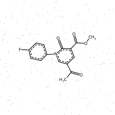 COC(=O)c1cc(C(C)=O)cn(-c2ccc(F)cc2)c1=O